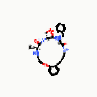 CCC(C)[C@@H]1NCCOc2ccccc2CCCNC(=O)[C@@H](Cc2ccccc2)NC(=O)[C@@H](CO)NC1=O